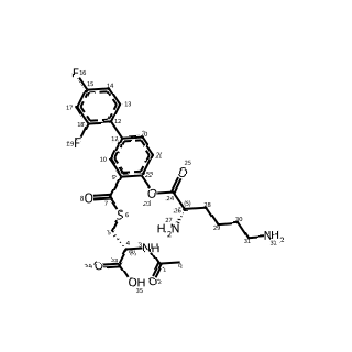 CC(=O)N[C@@H](CSC(=O)c1cc(-c2ccc(F)cc2F)ccc1OC(=O)[C@@H](N)CCCCN)C(=O)O